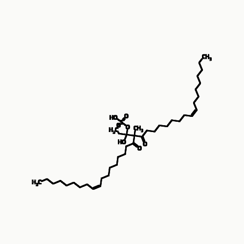 CCCCCCCC/C=C\CCCCCCCC(=O)C(C)(C(=O)CCCCCCC/C=C\CCCCCCCC)C(O)(CC)OS(=O)(=O)O